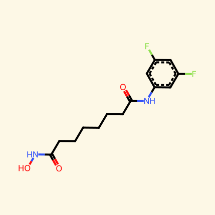 O=C(CCCCCCC(=O)Nc1cc(F)cc(F)c1)NO